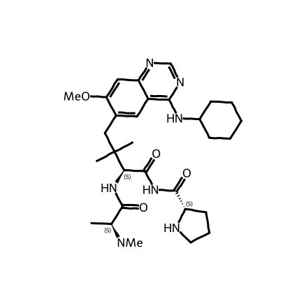 CN[C@@H](C)C(=O)N[C@H](C(=O)NC(=O)[C@@H]1CCCN1)C(C)(C)Cc1cc2c(NC3CCCCC3)ncnc2cc1OC